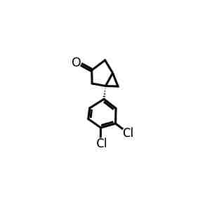 O=C1CC2C[C@@]2(c2ccc(Cl)c(Cl)c2)C1